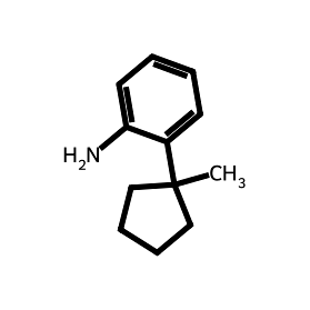 CC1(c2ccccc2N)CCCC1